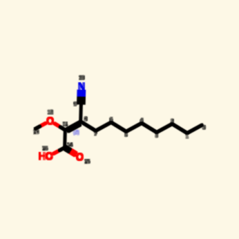 CCCCCCCC/C(C#N)=C(/OC)C(=O)O